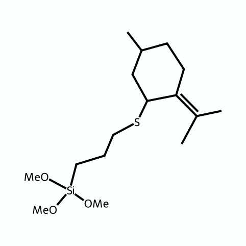 CO[Si](CCCSC1CC(C)CCC1=C(C)C)(OC)OC